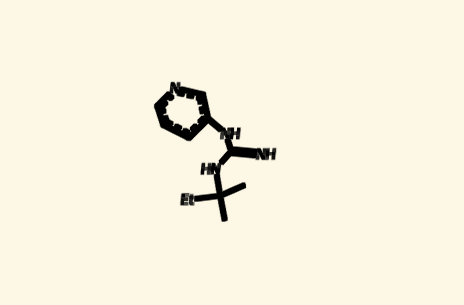 CCC(C)(C)NC(=N)Nc1cccnc1